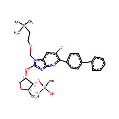 CC(C)(C)[Si](O)(O[C@@H]1[C@@H](C(=O)O)OC[C@H]1Oc1nc2nc(-c3ccc(-c4ccccc4)cc3)c(Cl)cc2n1COCC[Si](C)(C)C)C(C)(C)C